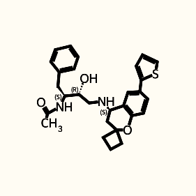 CC(=O)N[C@@H](Cc1ccccc1)[C@H](O)CN[C@H]1CC2(CCC2)Oc2ccc(-c3cccs3)cc21